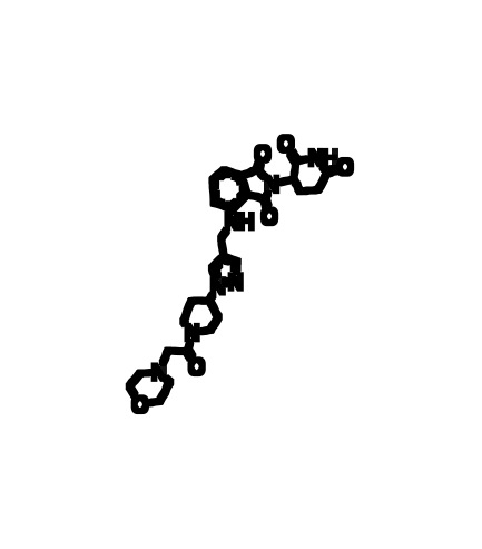 O=C1CCC(N2C(=O)c3cccc(NCc4cnn(C5CCN(C(=O)CN6CCOCC6)CC5)c4)c3C2=O)C(=O)N1